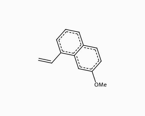 C=Cc1cccc2ccc(OC)cc12